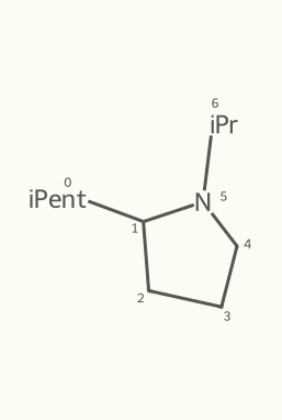 CCCC(C)C1CCCN1C(C)C